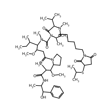 CCC(C)C(C(CC(=O)N1CCCC1C(OC)C(C)C(=O)NC(C)C(O)c1ccccc1)OC)N(C)C(=O)N(C(=O)C(C(C)C)N(C)C(=O)CCCCCN1C(=O)CC(SC(C)C)C1=O)C(C)C